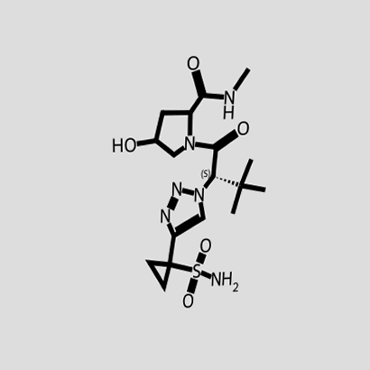 CNC(=O)C1CC(O)CN1C(=O)[C@@H](n1cc(C2(S(N)(=O)=O)CC2)nn1)C(C)(C)C